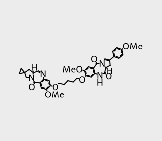 COc1ccc(C2=CN3C(=O)c4cc(OC)c(OCCCCCOc5cc6c(cc5OC)C(=O)N5CC7(CC7)C[C@H]5C=N6)cc4NC(=O)[C@@H]3C2)cc1